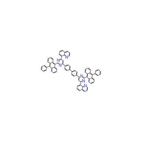 c1ccc(-c2c3ccccc3c(-c3nc(-c4ccc(-c5ccc(-c6cc(-c7cccc8cccnc78)nc(-c7c8ccccc8c(-c8ccccc8)c8ccccc78)n6)cc5)cc4)cc(-c4cccc5cccnc45)n3)c3ccccc23)cc1